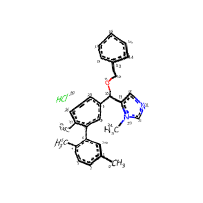 Cc1ccc(C)c(-c2cc(C(OCc3ccccc3)c3cncn3C)ccc2C#N)c1.Cl